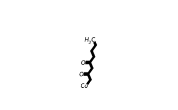 CCCCC(=O)CC(=O)[CH2][Co]